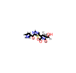 Cc1ccc(C(=O)c2ncn3cc(C4=C(C(=O)[O-])N5C(=O)[C@H]([C@@H](C)O)[C@H]5[C@H]4C)sc23)c[n+]1C